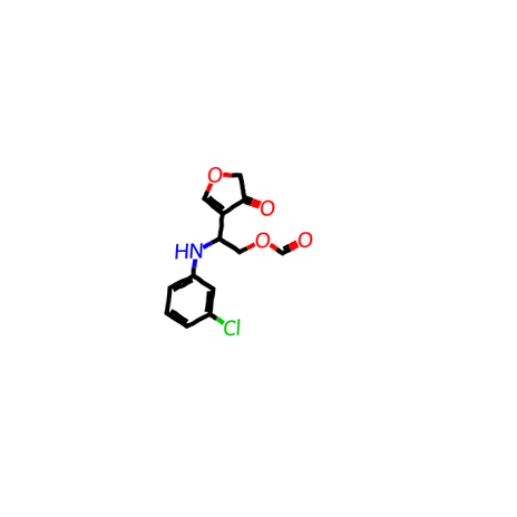 O=COCC(Nc1cccc(Cl)c1)C1=COCC1=O